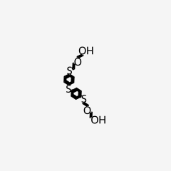 OCCOCCSc1ccc(Sc2ccc(SCCOCCO)cc2)cc1